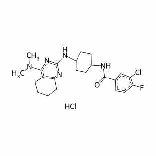 CN(C)c1nc(NC2CCC(NC(=O)c3ccc(F)c(Cl)c3)CC2)nc2c1CCCC2.Cl